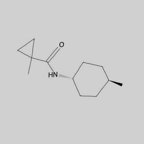 CC1(C(=O)N[C@H]2CC[C@H](C)CC2)CC1